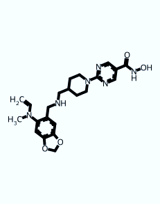 C=CN(C)c1cc2c(cc1CNCC1CCN(c3ncc(C(=O)NO)cn3)CC1)OCO2